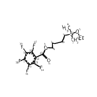 CCO[Si](C)(C)CCCCOC(=O)c1c(F)c(F)c(F)c(F)c1F